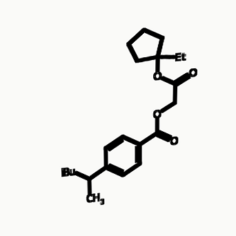 CCC(C)C(C)c1ccc(C(=O)OCC(=O)OC2(CC)CCCC2)cc1